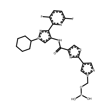 O=C(Nc1cn(C2CCCCC2)nc1-c1nc(F)ccc1F)c1csc(-c2cnn(COP(O)O)c2)n1